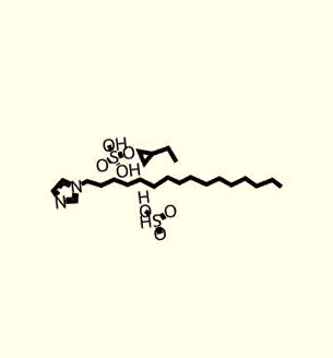 CCC1CC1.CCCCCCCCCCCCCCCCn1ccnc1.O=S(=O)(O)O.O=[SH](=O)O